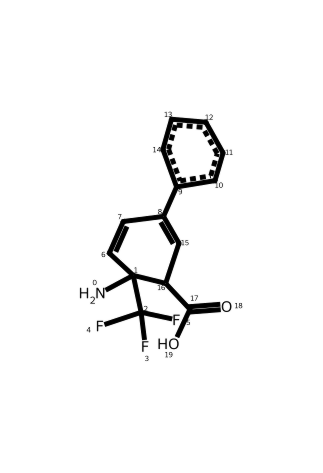 NC1(C(F)(F)F)C=CC(c2ccccc2)=CC1C(=O)O